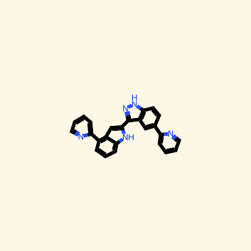 c1ccc(-c2ccc3[nH]nc(-c4cc5c(-c6ccccn6)cccc5[nH]4)c3c2)nc1